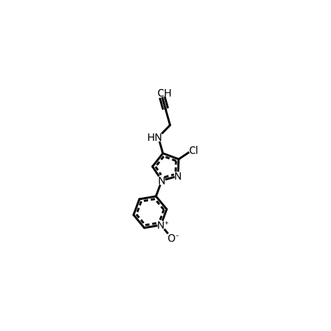 C#CCNc1cn(-c2ccc[n+]([O-])c2)nc1Cl